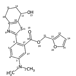 CN(C)c1ccc(-c2nc3c(s2)C(O)CCC3)c(C(=O)OCc2ccco2)c1